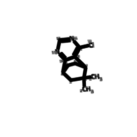 CC1(C)CC2CCC1c1c(Cl)ncnc12